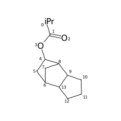 CC(C)C(=O)OC1CC2CC1C1CCCC21